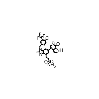 Cc1nc2c(CCS(N)(=O)=O)cc(-c3cn(C)c(=O)c4[nH]ccc34)cc2n1Cc1ccc(Cl)c(C(F)(F)F)c1